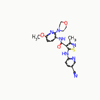 COc1ccc(NC(=O)c2c(C)nsc2Nc2ccc(C#N)cn2)c(N2CCOCC2)n1